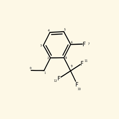 CCc1cccc(F)c1C(F)(F)F